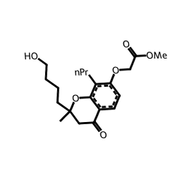 CCCc1c(OCC(=O)OC)ccc2c1OC(C)(CCCCO)CC2=O